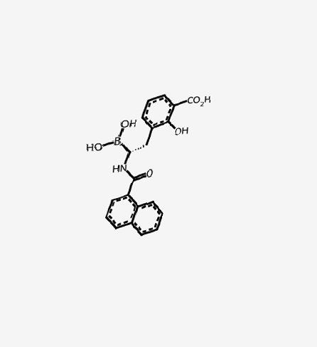 O=C(O)c1cccc(C[C@H](NC(=O)c2cccc3ccccc23)B(O)O)c1O